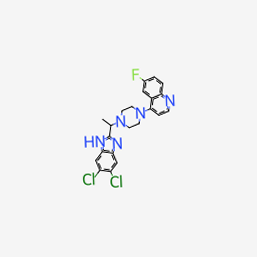 CC(c1nc2cc(Cl)c(Cl)cc2[nH]1)N1CCN(c2ccnc3ccc(F)cc23)CC1